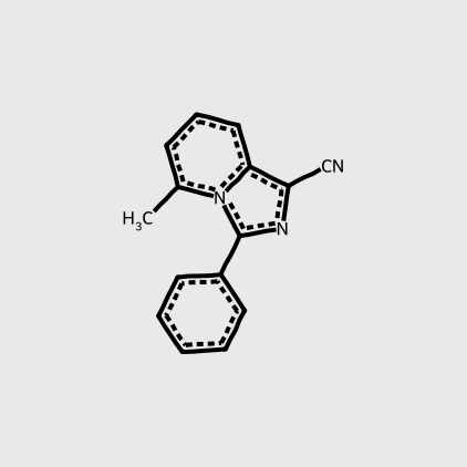 Cc1cccc2c(C#N)nc(-c3ccccc3)n12